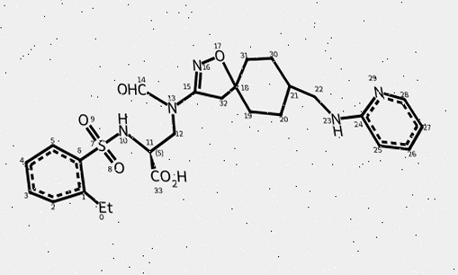 CCc1ccccc1S(=O)(=O)N[C@@H](CN(C=O)C1=NOC2(CCC(CNc3ccccn3)CC2)C1)C(=O)O